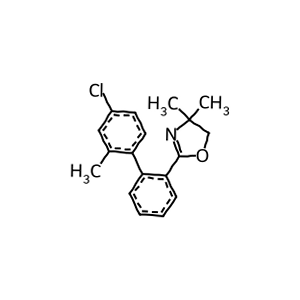 Cc1cc(Cl)ccc1-c1ccccc1C1=NC(C)(C)CO1